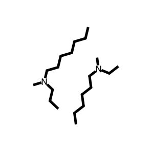 CCCCCCCN(C)CCC.CCCCCCN(C)CC